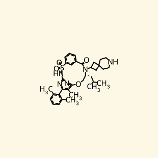 Cc1cccc(C)c1-c1nc2nc(c1C)OC[C@@H](CC(C)C)N(C1CC3(CCNCC3)C1)C(=O)c1cccc(c1)S(=O)(=O)N2